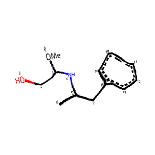 COC(CO)NC(C)Cc1ccccc1